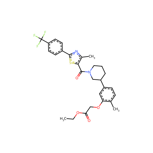 CCOC(=O)COc1cc(C2CCCN(C(=O)c3sc(-c4ccc(C(F)(F)F)cc4)nc3C)C2)ccc1C